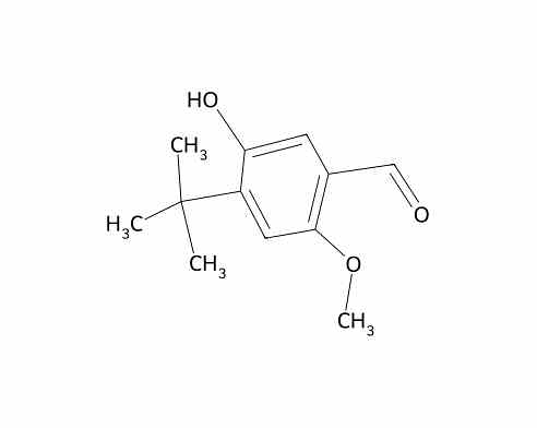 COc1cc(C(C)(C)C)c(O)cc1C=O